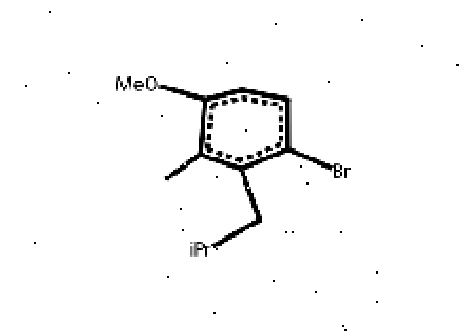 COc1ccc(Br)c(CC(C)C)c1C